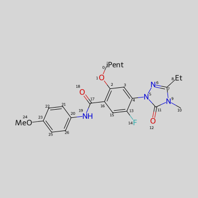 CCCC(C)Oc1cc(-n2nc(CC)n(C)c2=O)c(F)cc1C(=O)Nc1ccc(OC)cc1